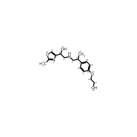 Cc1nc(C(O)CNCC(C)c2ccc(OCCO)cc2)co1